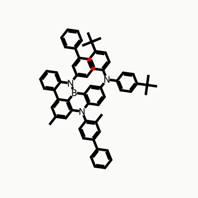 Cc1cc2c3c(c1)N(c1ccc(-c4ccccc4)cc1C)c1ccc(N(c4ccc(C(C)(C)C)cc4)c4ccc(C(C)(C)C)cc4)cc1B3N(c1cccc(-c3ccccc3)c1)c1ccccc1-2